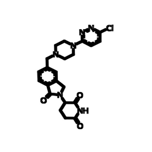 O=C1CCC(N2Cc3cc(CN4CCN(c5ccc(Cl)nn5)CC4)ccc3C2=O)C(=O)N1